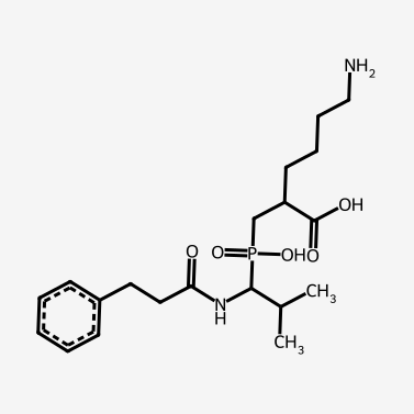 CC(C)C(NC(=O)CCc1ccccc1)P(=O)(O)CC(CCCCN)C(=O)O